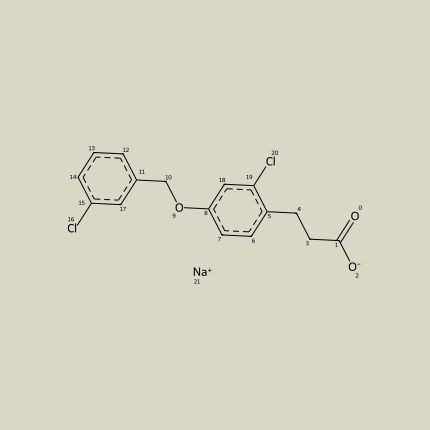 O=C([O-])CCc1ccc(OCc2cccc(Cl)c2)cc1Cl.[Na+]